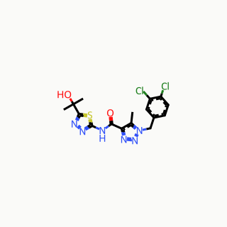 Cc1c(C(=O)Nc2nnc(C(C)(C)O)s2)nnn1Cc1ccc(Cl)c(Cl)c1